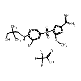 CSc1sc(C(=N)N)cc1S(=O)(=O)c1cnc(NCC(C)(C)CO)c(Br)c1.O=C(O)C(F)(F)F